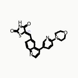 O=C1NC(=O)/C(=C/c2ccc3nccc(-c4ccc(N5CCOCC5)nc4)c3c2)S1